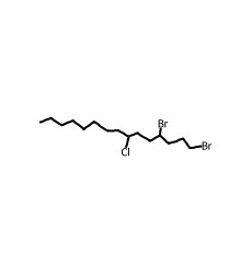 CCCCCCCCC(Cl)CCC(Br)CCCBr